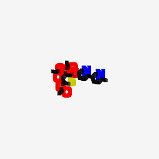 CC(=O)O[C@@H]1[C@@H](OC(C)=O)[C@@H](Oc2ccc(-c3ccc(C)nc3)nc2)SC[C@H]1OC(C)=O